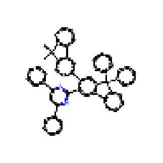 CC1(C)c2ccccc2-c2cc(-c3cc4c(cc3-c3nc(-c5ccccc5)cc(-c5ccccc5)n3)-c3ccccc3C4(c3ccccc3)c3ccccc3)ccc21